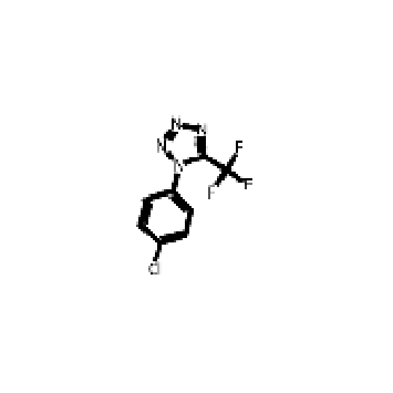 FC(F)(F)c1nnnn1-c1[c]cc(Cl)cc1